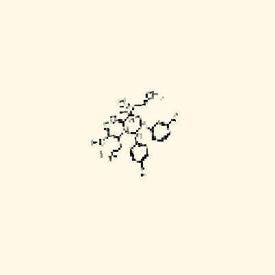 C=CC[C@]1(C)C[C@H](c2cccc(Cl)c2)[C@@H](c2ccc(Cl)cc2)N(C(CC)C(=O)O)C1=O